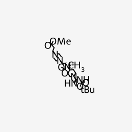 COC(=O)CCN1CCN(C2C[N+](C)(C3CCN(C(=N)NC(=O)OC(C)(C)C)CC3)C(=O)O2)CC1